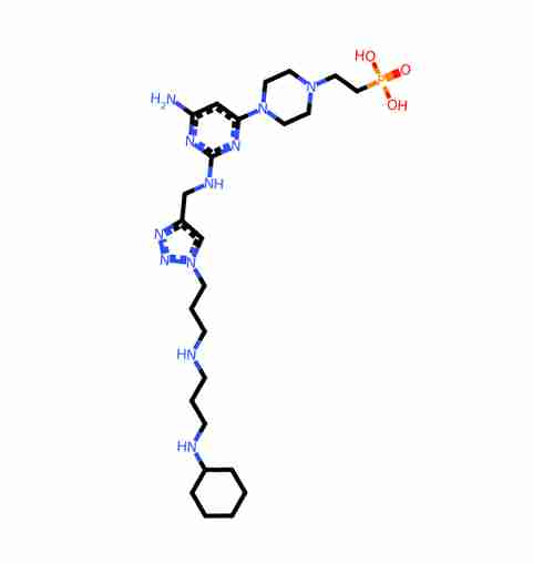 Nc1cc(N2CCN(CCP(=O)(O)O)CC2)nc(NCc2cn(CCCNCCCNC3CCCCC3)nn2)n1